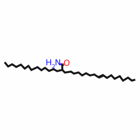 CCCCCCCCC=CCCCCCCCCC(CCCCCCCCCCCCCC)C(N)=O